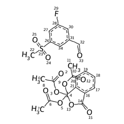 CC(=O)OI1(OC(C)=O)(OC(C)=O)OC(=O)c2ccccc21.CS(=O)(=O)c1cc(F)cc(C=O)c1